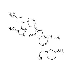 CSc1cc(C(CO)N2CCC[C@H](C)C2)cc2c1CN(c1cccc(C3(c4nncn4C)CC(C)C3)c1)C2=O